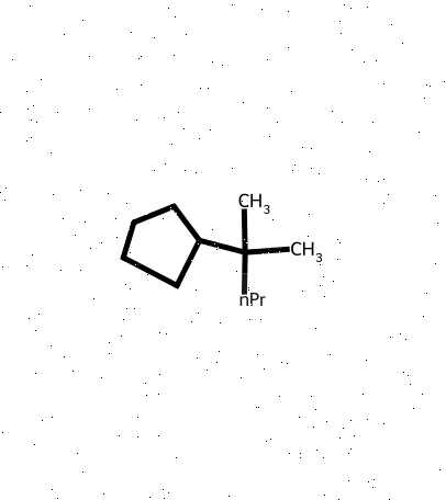 CCCC(C)(C)C1CCCC1